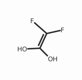 OC(O)=C(F)F